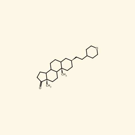 C[C@]12CC[C@H](CCC3CCOCC3)CC1CCC1C2CC[C@]2(C)C(=O)CCC12